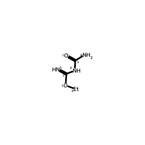 CCOC(=N)NC(N)=O